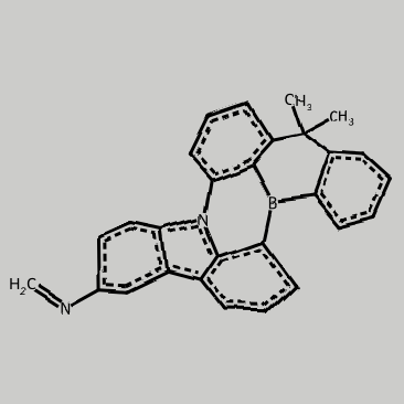 C=Nc1ccc2c(c1)c1cccc3c1n2-c1cccc2c1B3c1ccccc1C2(C)C